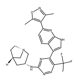 Cc1noc(C)c1-c1ccc2c(-c3nc(N[C@@H]4C[C@@H]5CC[N@@](C5)C4)ncc3C(F)(F)F)c[nH]c2n1